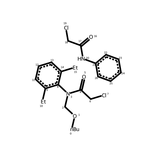 CCCCOCN(C(=O)CCl)c1c(CC)cccc1CC.O=C(CCl)Nc1ccccc1